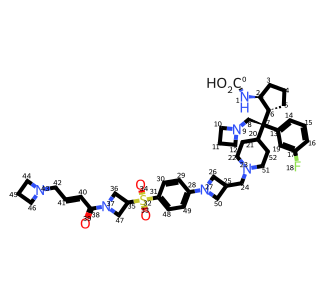 O=C(O)N[C@H]1CCC[C@@H]1[C@](CN1CCC1)(c1cccc(F)c1)C1CCN(CC2CN(c3ccc(S(=O)(=O)C4CN(C(=O)/C=C/CN5CCC5)C4)cc3)C2)CC1